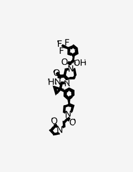 O=C(CCN1CCCC1=O)N1CC=C(c2cccc(C3(c4nc5c(c(=O)[nH]4)CN(C(=O)[C@H](O)c4cccc(C(F)(F)F)c4)CCC5)CC3)c2)CC1